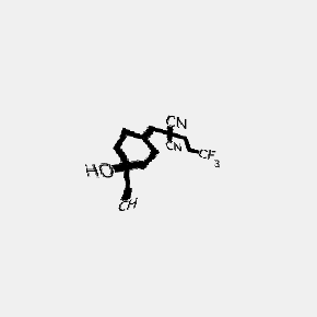 C#CC1(O)CCC(CC(C#N)(C#N)CCC(F)(F)F)CC1